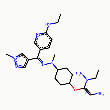 CCNc1ccc(/C(=N\N(C)C2CCC(O/C(=C/N)N(N)CC)CC2)c2cnn(C)c2)cn1